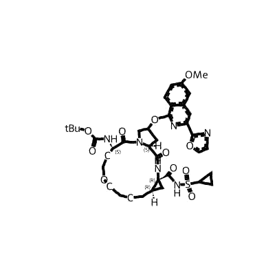 COc1ccc2c(OC3C[C@H]4C(=O)N[C@]5(C(=O)NS(=O)(=O)C6CC6)C[C@H]5CCCCOCC[C@H](NC(=O)OC(C)(C)C)C(=O)N4C3)nc(-c3ncco3)cc2c1